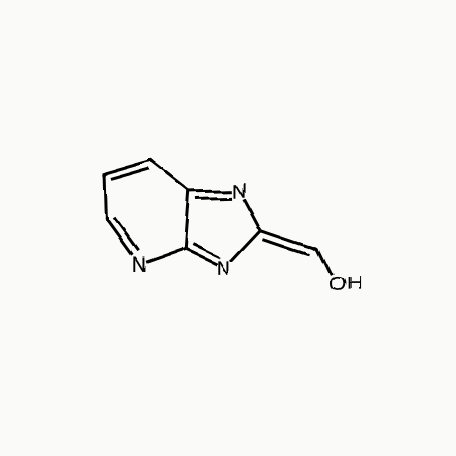 OC=C1N=c2cccnc2=N1